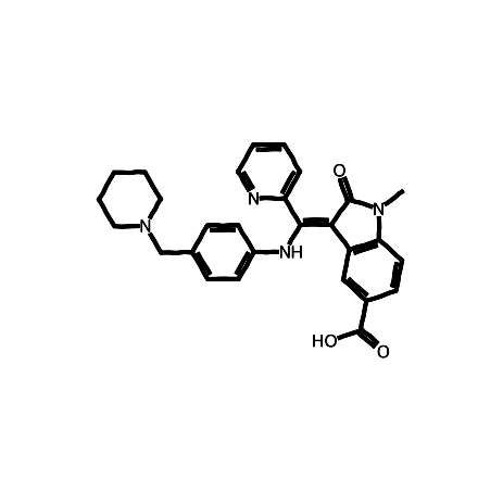 CN1C(=O)C(=C(Nc2ccc(CN3CCCCC3)cc2)c2ccccn2)c2cc(C(=O)O)ccc21